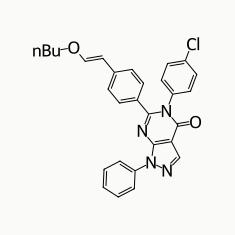 CCCCO/C=C/c1ccc(-c2nc3c(cnn3-c3ccccc3)c(=O)n2-c2ccc(Cl)cc2)cc1